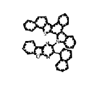 c1ccc2c(-c3nc4oc5ccccc5c4nc3-n3c4ccccc4c4c5ccccc5c5c6ccc7ccccc7c6sc5c43)cccc2c1